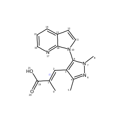 C/C(=C\c1c(C)nn(C)c1-n1ccc2cccnc21)C(=O)O